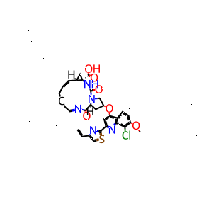 C=Cc1csc(-c2cc(O[C@H]3C[C@H]4C(=O)/N=C/CCC/C=C\[C@H]5C[C@@]5(C(=O)O)NC(=O)N4C3)c3ccc(OC)c(Cl)c3n2)n1